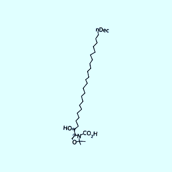 CCCCCCCCCCCCCCCCCCCCCCCCCCCCCCCCC[C@@H](O)[C@@H]1COC(C)(C)N1C(=O)O